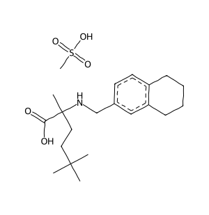 CC(C)(C)CCC(C)(NCc1ccc2c(c1)CCCC2)C(=O)O.CS(=O)(=O)O